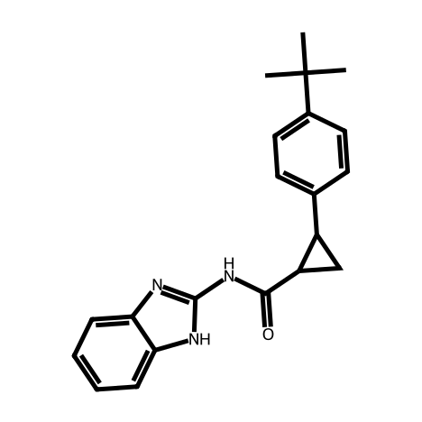 CC(C)(C)c1ccc(C2CC2C(=O)Nc2nc3ccccc3[nH]2)cc1